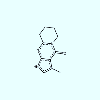 Cc1c[nH]c2nc3n(c(=O)c12)CCCC3